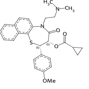 COc1ccc([C@@H]2Sc3c(ccc4ccccc34)N(CCN(C)C)C(=O)[C@@H]2OC(=O)C2CC2)cc1